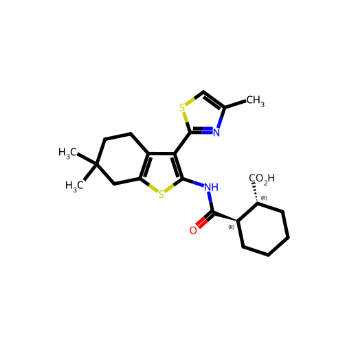 Cc1csc(-c2c(NC(=O)[C@@H]3CCCC[C@H]3C(=O)O)sc3c2CCC(C)(C)C3)n1